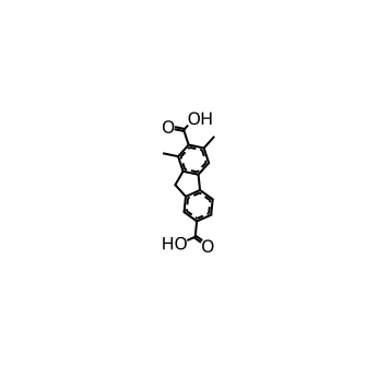 Cc1cc2c(c(C)c1C(=O)O)Cc1cc(C(=O)O)ccc1-2